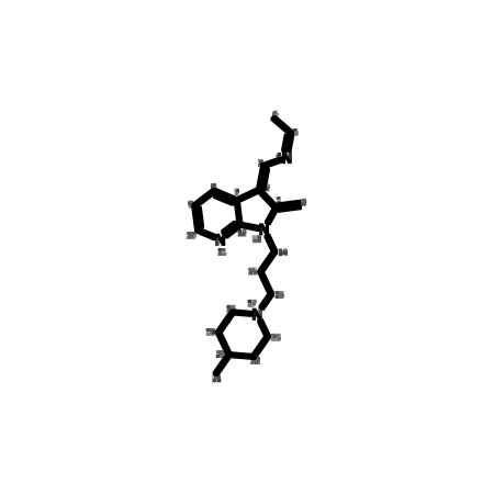 C=c1/c(=C\N=C/C)c2cccnc2n1CCCN1CCC(C)CC1